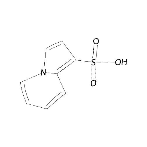 O=S(=O)(O)c1ccn2ccccc12